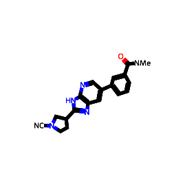 CNC(=O)c1cccc(-c2cnc3[nH]c(C4CCN(C#N)C4)nc3c2)c1